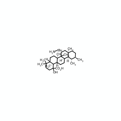 CC(C)(C)N.C[C@@H]1[C@H]2[C@H]3CC[C@@H]4[C@]5(C)[C@@H](CC[C@@]4(C)[C@]3(C)CC[C@@]2(C)CC[C@H]1C)C(C)(C)CCC5(O)C(=O)O